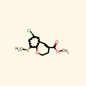 COC(=O)C1=Cc2cc(Cl)cc(SC)c2OCC1